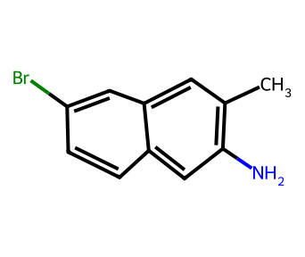 Cc1cc2cc(Br)ccc2cc1N